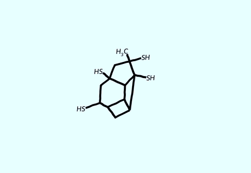 CC1(S)CC2(S)CC(S)C3CC4C3C2C41S